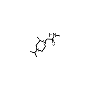 CNC(=O)CN1CCN(C(C)C)C[C@H]1C